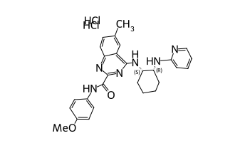 COc1ccc(NC(=O)c2nc(N[C@H]3CCCC[C@H]3Nc3ccccn3)c3cc(C)ccc3n2)cc1.Cl.Cl